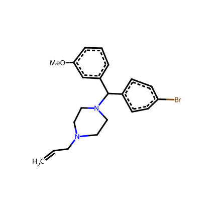 C=CCN1CCN(C(c2ccc(Br)cc2)c2cccc(OC)c2)CC1